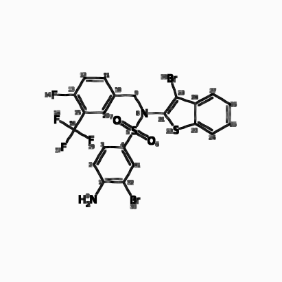 Nc1ccc(S(=O)(=O)N(Cc2ccc(F)c(C(F)(F)F)c2)c2sc3ccccc3c2Br)cc1Br